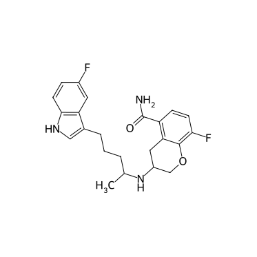 CC(CCCc1c[nH]c2ccc(F)cc12)NC1COc2c(F)ccc(C(N)=O)c2C1